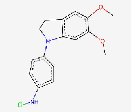 COc1cc2c(cc1OC)N(c1ccc(NCl)cc1)CC2